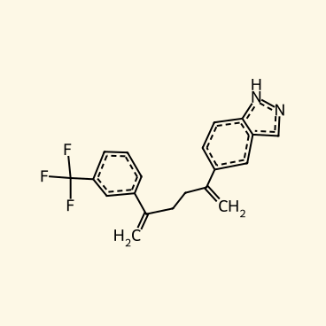 C=C(CCC(=C)c1ccc2[nH]ncc2c1)c1cccc(C(F)(F)F)c1